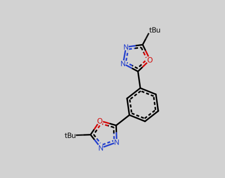 CC(C)(C)c1nnc(-c2cccc(-c3nnc(C(C)(C)C)o3)c2)o1